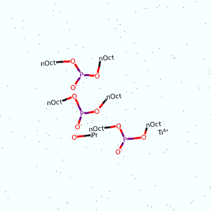 CC(C)[O-].CCCCCCCCOP([O-])OCCCCCCCC.CCCCCCCCOP([O-])OCCCCCCCC.CCCCCCCCOP([O-])OCCCCCCCC.[Ti+4]